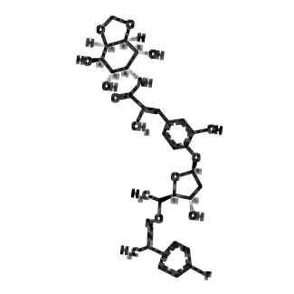 CC(=Cc1ccc(O[C@H]2C[C@H](O)[C@@H](C(C)ON=C(C)c3ccc(F)cc3)O2)c(O)c1)C(=O)N[C@@H]1[C@H](O)[C@@H](O)[C@H]2OCO[C@H]2[C@@H]1O